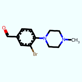 CN1CCN(c2ccc(C=O)cc2Br)CC1